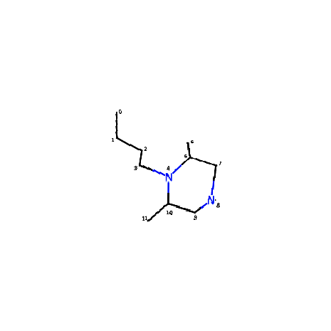 CCCCN1C(C)C[N]CC1C